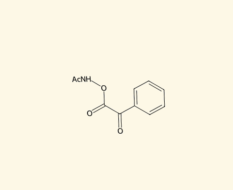 CC(=O)NOC(=O)C(=O)c1ccccc1